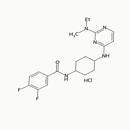 CCN(C)c1nccc(NC2CCC(NC(=O)c3ccc(F)c(F)c3)CC2)n1.Cl